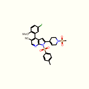 COc1ccc(F)cc1-c1c(C#N)cnc2c1cc(C1=CCN(S(C)(=O)=O)CC1)n2S(=O)(=O)c1ccc(C)cc1